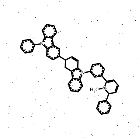 CN1C(c2cccc(-n3c4c(c5ccccc53)CC(c3ccc5c(c3)c3ccccc3n5-c3ccccc3)C=C4)c2)=CC=CC1c1ccccc1